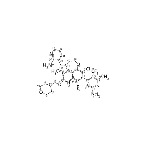 Cc1cc(N)nc(-c2c(Cl)c3c4c(nc(OCC5CCOCC5)nc4c2F)N([C@H](C)c2cccnc2N)CCO3)c1C(F)(F)F